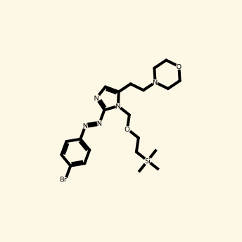 C[Si](C)(C)CCOCn1c(CCN2CCOCC2)cnc1N=Nc1ccc(Br)cc1